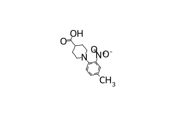 Cc1ccc(N2CCC(C(=O)O)CC2)c([N+](=O)[O-])c1